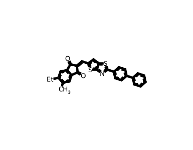 CCc1cc2c(cc1C)C(=O)/C(=C\c1cc3sc(-c4ccc(-c5ccccc5)cc4)nc3s1)C2=O